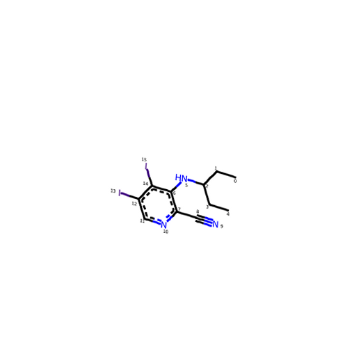 CCC(CC)Nc1c(C#N)ncc(I)c1I